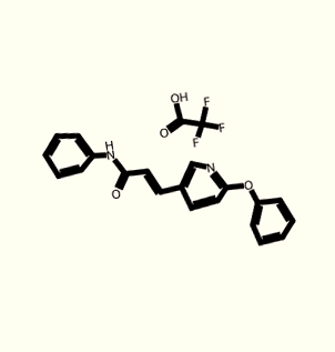 O=C(C=Cc1ccc(Oc2ccccc2)nc1)Nc1ccccc1.O=C(O)C(F)(F)F